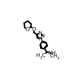 CNC(C)c1ccc(-n2cc(COC3CCCCO3)nn2)cc1